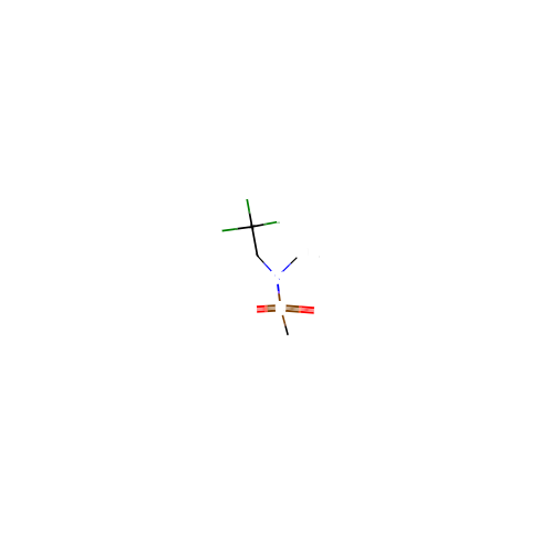 CN(CC(F)(F)F)S(C)(=O)=O